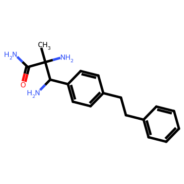 CC(N)(C(N)=O)C(N)c1ccc(CCc2ccccc2)cc1